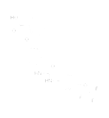 O=C(Nc1ccc(OC(F)(F)F)cc1)NC1CCC(Oc2ccccc2C(=O)O)CC1